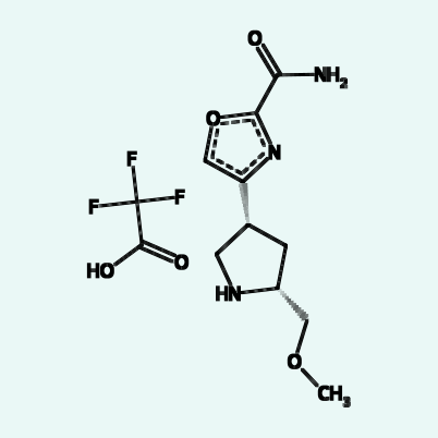 COC[C@H]1C[C@@H](c2coc(C(N)=O)n2)CN1.O=C(O)C(F)(F)F